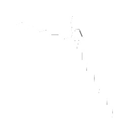 CCCCCCCCCCCCCN1C=CN(CCCC)C1CCCCCCCCCC